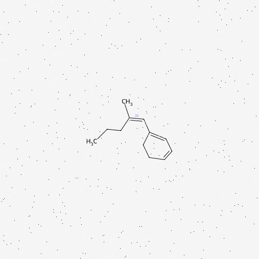 CCC/C(C)=C\C1=CC=CCC1